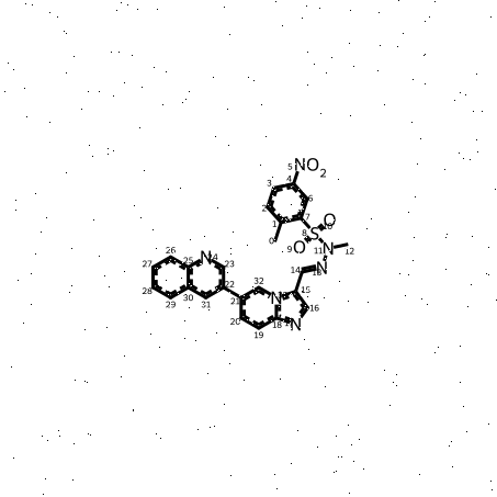 Cc1ccc([N+](=O)[O-])cc1S(=O)(=O)N(C)N=Cc1cnc2ccc(-c3cnc4ccccc4c3)cn12